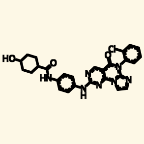 O=C(Nc1ccc(Nc2ncc3c(=O)n(-c4ccccc4Cl)c4nccn4c3n2)cc1)C1CCC(O)CC1